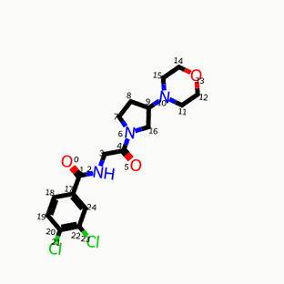 O=C(NCC(=O)N1CCC(N2CCOCC2)C1)c1ccc(Cl)c(Cl)c1